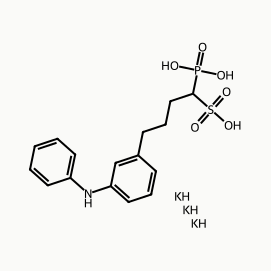 O=P(O)(O)C(CCCc1cccc(Nc2ccccc2)c1)S(=O)(=O)O.[KH].[KH].[KH]